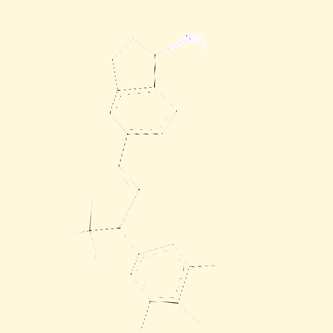 Cc1cc(C(/C=C/c2ccc3c(c2)CCC3N)C(F)(F)F)cc(Cl)c1C